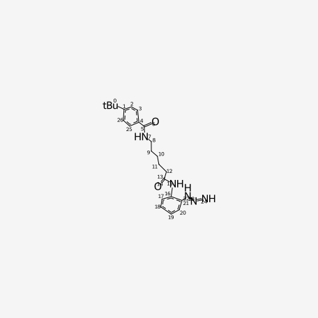 CC(C)(C)c1ccc(C(=O)NCCCCCC(=O)Nc2ccccc2NN=N)cc1